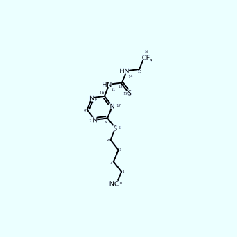 N#CCCCCSc1ncnc(NC(=S)NCC(F)(F)F)n1